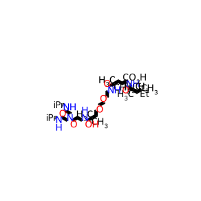 CCC(C)(C)CC(C)(C)C(=O)N[C@@H](CCC(C)(C)C(=O)NCCOCCOCCC(C)(C)C(O)NCCC(=O)N(CCNC(C)C)CC(=O)NC(C)C)C(=O)O